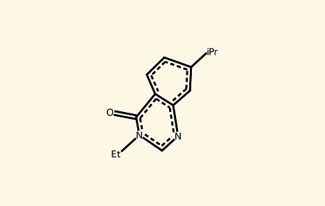 CCn1cnc2cc(C(C)C)ccc2c1=O